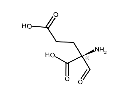 N[C@](C=O)(CCC(=O)O)C(=O)O